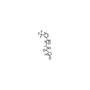 C[C@H](NC(=O)C1CCC(=O)N1)c1nc(-c2ccnc(C(F)(F)F)c2)no1